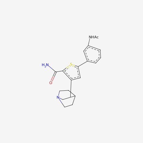 CC(=O)Nc1cccc(-c2cc(C3CN4CCC3CC4)c(C(N)=O)s2)c1